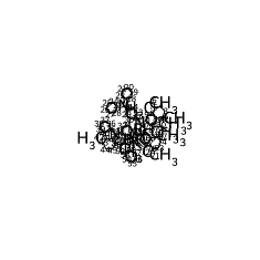 CC1(C)CCC(C)(C)c2cc(Nc3ccc(N(c4ccccc4)c4ccccc4)cc3-c3cc(N4c5ccccc5C5(C)CCCCC45C)c4c5ccc6ccccc6c5n5c4c3Bc3cc4c(cc3-5)C(C)(C)CCC4(C)C)ccc21